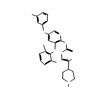 C=C(Nc1ncc(Sc2cccc(OC)c2)cc1Oc1c(C)cccc1C)S/C=C(\N)C1CCN(C(C)=O)CC1